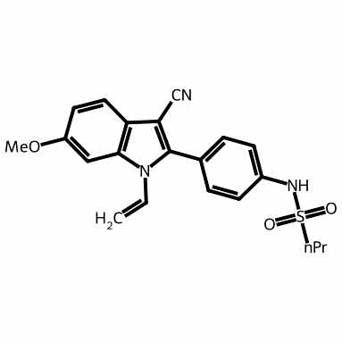 C=Cn1c(-c2ccc(NS(=O)(=O)CCC)cc2)c(C#N)c2ccc(OC)cc21